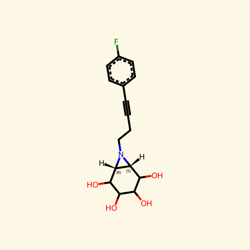 OC1C(O)C(O)[C@H]2[C@@H](C1O)N2CCC#Cc1ccc(F)cc1